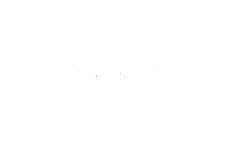 CC(C)N1CCN(CI)CC12CCC2